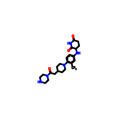 O=C1CCC(Nc2ccc(N3CCC(CC(=O)N4CCNCC4)CC3)c(C(F)(F)F)c2)C(=O)N1